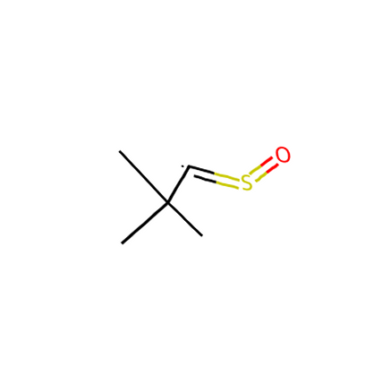 CC(C)(C)[C]=S=O